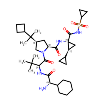 CC(C)(C)[C@H](NC(=O)[C@@H](N)C1CCCCC1)C(=O)N1C[C@@H](C(C)(C)C2CCC2)C[C@H]1C(=O)N[C@]1(C(=O)NS(=O)(=O)C2CC2)C[C@H]1C1CC1